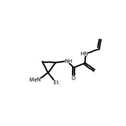 C=CNC(=C)C(=O)NC1CC1(CC)NC